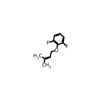 CC(C)=CCOc1c(F)cccc1F